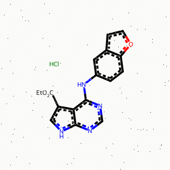 CCOC(=O)c1c[nH]c2ncnc(Nc3ccc4occc4c3)c12.Cl